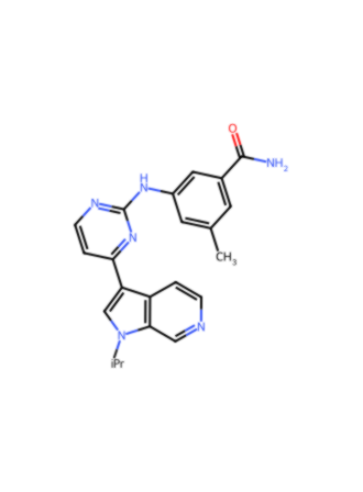 Cc1cc(Nc2nccc(-c3cn(C(C)C)c4cnccc34)n2)cc(C(N)=O)c1